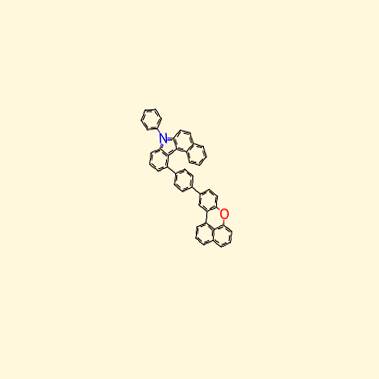 c1ccc(-n2c3cccc(-c4ccc(-c5ccc6c(c5)-c5cccc7cccc(c57)O6)cc4)c3c3c4ccccc4ccc32)cc1